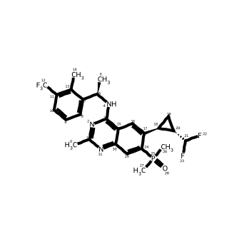 Cc1nc(N[C@H](C)c2cccc(C(F)(F)F)c2C)c2cc([C@H]3C[C@@H]3C(F)F)c(P(C)(C)=O)cc2n1